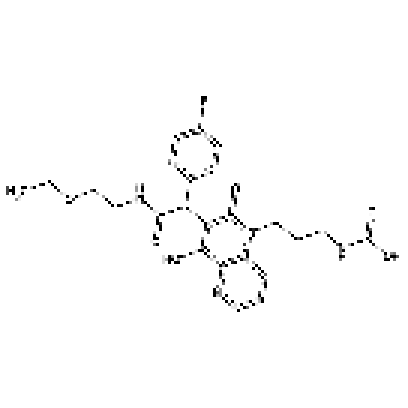 CCOCCNC(=O)C(c1ccc(F)cc1)c1c(O)c2ncccc2n(CCCNC(=O)O)c1=O